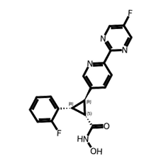 O=C(NO)[C@H]1[C@H](c2ccc(-c3ncc(F)cn3)nc2)[C@H]1c1ccccc1F